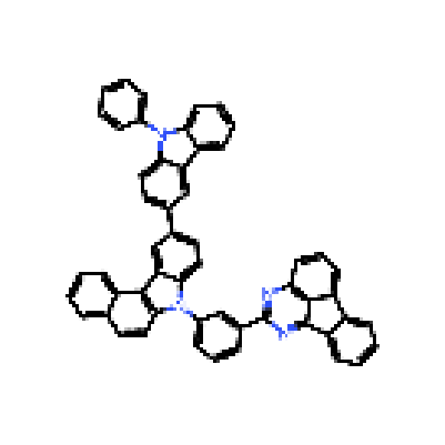 c1ccc(-n2c3ccccc3c3cc(-c4ccc5c(c4)c4c6ccccc6ccc4n5-c4cccc(-c5nc6c7c(cccc7n5)-c5ccccc5-6)c4)ccc32)cc1